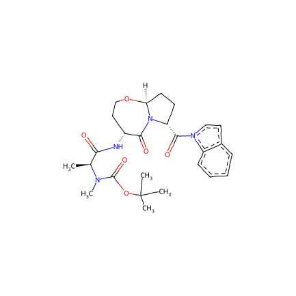 C[C@@H](C(=O)N[C@@H]1CCO[C@H]2CC[C@H](C(=O)n3ccc4ccccc43)N2C1=O)N(C)C(=O)OC(C)(C)C